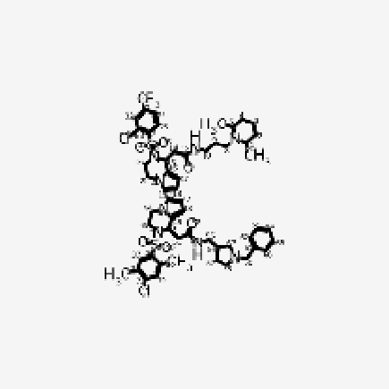 CC1CCCC(C)N1CCCNC(=O)CC1c2cccn2CCN1S(=O)(=O)c1ccc(C(F)(F)F)cc1Cl.Cc1cc(S(=O)(=O)N2CCn3cccc3C2CC(=O)NCC2CCN(Cc3ccccc3)C2)c(C)cc1Cl